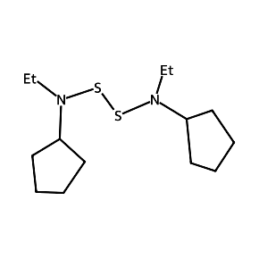 CCN(SSN(CC)C1CCCC1)C1CCCC1